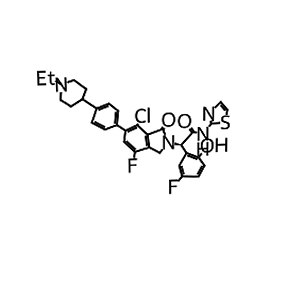 CCN1CCC(c2ccc(-c3cc(F)c4c(c3Cl)C(=O)N([C@@H](C(=O)Nc3nccs3)c3cc(F)ccc3O)C4)cc2)CC1